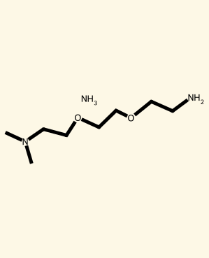 CN(C)CCOCCOCCN.N